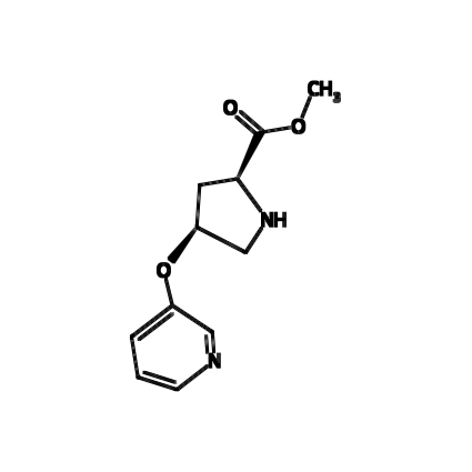 COC(=O)[C@@H]1C[C@H](Oc2cccnc2)CN1